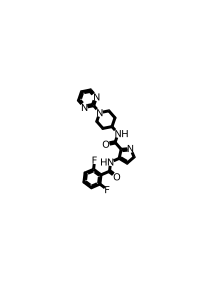 O=C(NC1CCN(c2ncccn2)CC1)C1=NCC=C1NC(=O)c1c(F)cccc1F